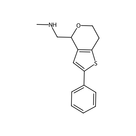 CNCC1OCCc2sc(-c3ccccc3)cc21